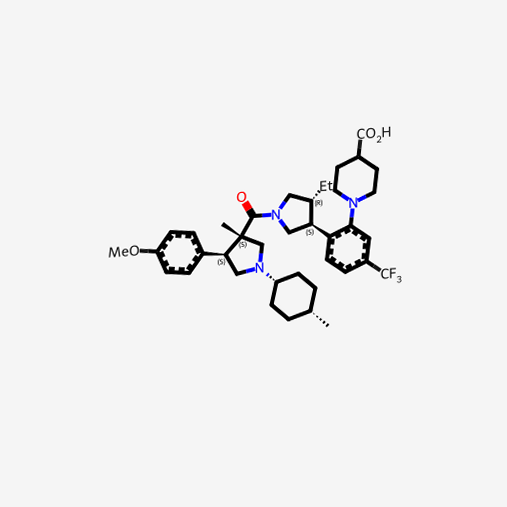 CC[C@H]1CN(C(=O)[C@]2(C)CN([C@H]3CC[C@@H](C)CC3)C[C@H]2c2ccc(OC)cc2)C[C@@H]1c1ccc(C(F)(F)F)cc1N1CCC(C(=O)O)CC1